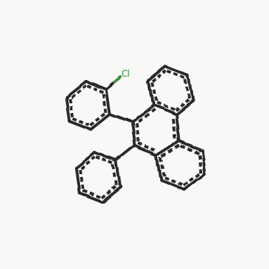 Clc1ccccc1-c1c(-c2ccccc2)c2ccccc2c2ccccc12